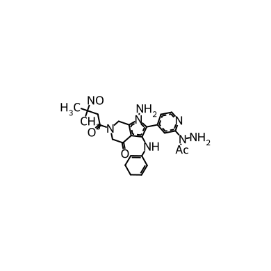 CC(=O)N(N)c1cc(-c2c(NC3=CCCC=C3)c3c(n2N)CN(C(=O)CC(C)(C)N=O)CC3=O)ccn1